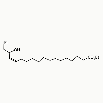 CCOC(=O)CCCCCCCCCCCC/C=C\C(O)CC(C)C